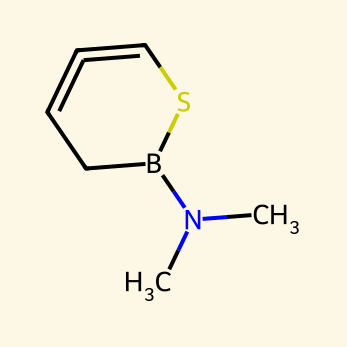 CN(C)B1CC=C=CS1